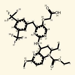 CCOC(=O)N1c2ccc(OC)nc2C(Nc2ncc(OCC(=O)O)c(Cc3cc(C(F)(F)F)cc(C(F)(F)F)c3)n2)CC1CC